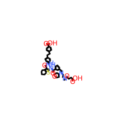 CN(CCN(Cc1cccc(C(=O)Nc2sc3c(c2C(=O)Nc2ccc(CCc4ccc(C(=O)O)cc4)cc2)CCCC3)c1)C1CCOCC1)C(=O)CCC(=O)O